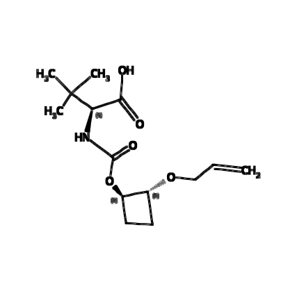 C=CCO[C@@H]1CC[C@H]1OC(=O)N[C@H](C(=O)O)C(C)(C)C